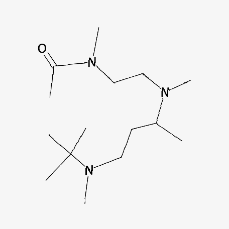 CC(=O)N(C)CCN(C)C(C)CCN(C)C(C)(C)C